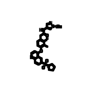 Cc1c(Oc2ccnc3ccc(S(=O)(=O)N4CCCC4)cc23)ccc(CC(=O)Nc2cnn(C(C)(C)C)c2)c1F